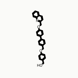 OCc1ccc(OCc2ccc(-c3ccc(OCc4ccc5ccccc5n4)cc3)cc2)cc1